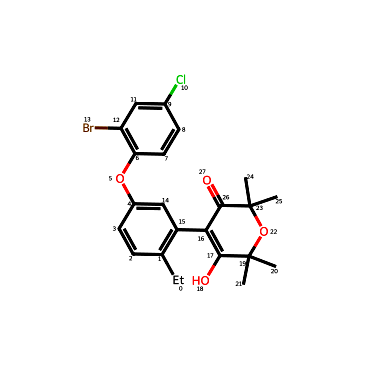 CCc1ccc(Oc2ccc(Cl)cc2Br)cc1C1=C(O)C(C)(C)OC(C)(C)C1=O